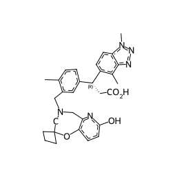 Cc1ccc([C@@H](CC(=O)O)c2ccc3c(nnn3C)c2C)cc1CN1Cc2nc(O)ccc2OC2(CCC2)C1